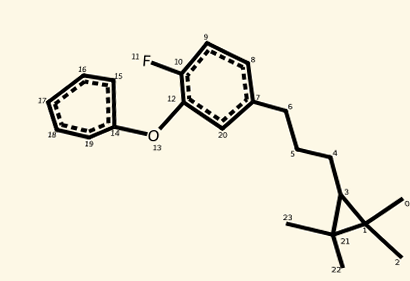 CC1(C)C(CCCc2ccc(F)c(Oc3ccccc3)c2)C1(C)C